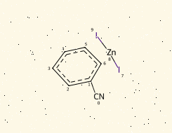 N#Cc1cc[c]cc1.[I][Zn][I]